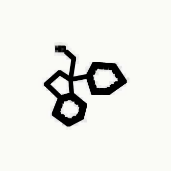 OCC1(c2ccccc2)CCc2ccccc21